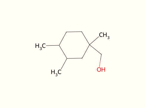 CC1CCC(C)(CO)CC1C